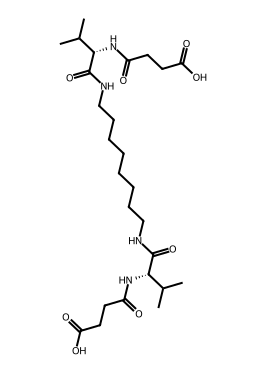 CC(C)[C@H](NC(=O)CCC(=O)O)C(=O)NCCCCCCCCNC(=O)[C@@H](NC(=O)CCC(=O)O)C(C)C